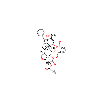 CC(=O)OCC[C@]12COC[C@H]1[C@]1(C)CC[C@@H]3[C@@](C)(C1[C@H](OC(C)=O)[C@@H]2OC(C)=O)[C@H](OC(C)=O)C=C(C)[C@]3(O)Cc1ccccc1